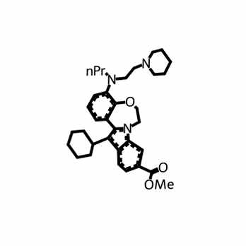 CCCN(CCN1CCCCC1)c1cccc2c1OCCn1c-2c(C2CCCCC2)c2ccc(C(=O)OC)cc21